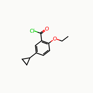 CCOc1ccc(C2CC2)cc1C(=O)Cl